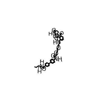 CCCNNC(=O)c1ccc(-c2ccc(NC(=O)COCCOCCNc3cccc4c3C(=O)N(C3CCC(=O)NC3=O)C4=O)cc2)cc1